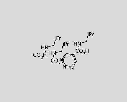 CC(C)CNC(=O)O.CC(C)CNC(=O)O.CC(C)CNC(=O)O.c1cnnnc1